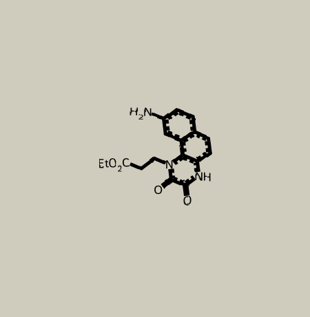 CCOC(=O)CCn1c(=O)c(=O)[nH]c2ccc3ccc(N)cc3c21